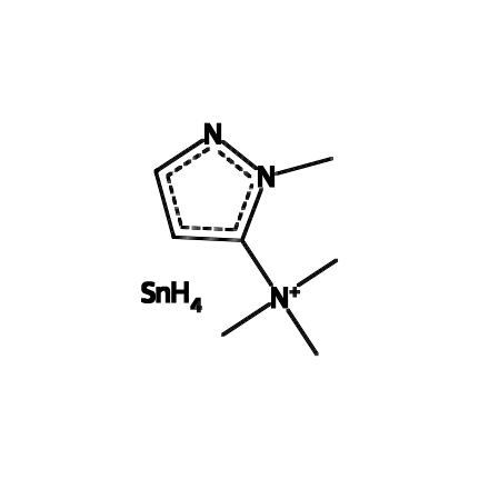 Cn1nccc1[N+](C)(C)C.[SnH4]